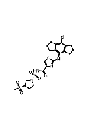 CS(=O)(=O)C1CCN(S(=O)(=O)NC(=O)c2coc(Nc3c4c(c(Cl)c5c3CCC5)CCC4)n2)C1